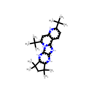 CC(C)(C)c1ccc2c(cc(C(C)(C)C)n3c4nc5c(nc4nc23)C(C)(C)CC5(C)C)n1